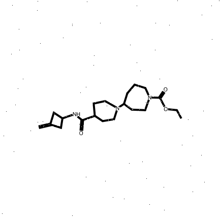 C=C1CC(NC(=O)C2CCN(C3CCCN(C(=O)OCC)CC3)CC2)C1